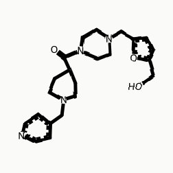 O=C(C1CCN(Cc2ccncc2)CC1)N1CCN(Cc2ccc(CO)o2)CC1